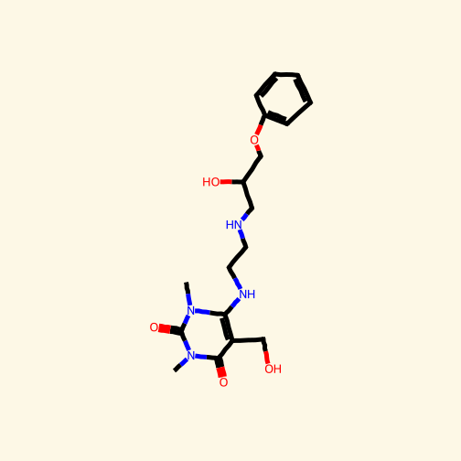 Cn1c(NCCNCC(O)COc2ccccc2)c(CO)c(=O)n(C)c1=O